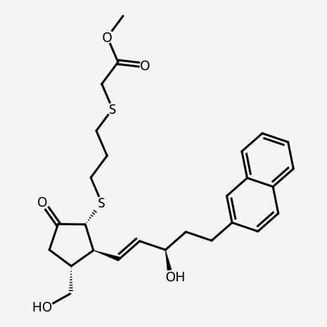 COC(=O)CSCCCS[C@H]1C(=O)C[C@@H](CO)[C@@H]1/C=C/[C@H](O)CCc1ccc2ccccc2c1